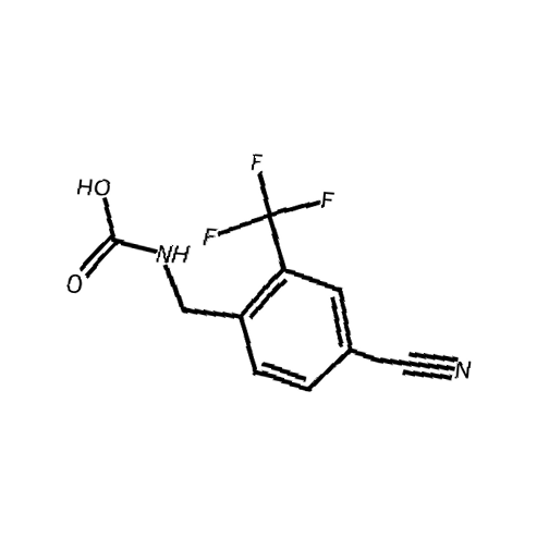 N#Cc1ccc(CNC(=O)O)c(C(F)(F)F)c1